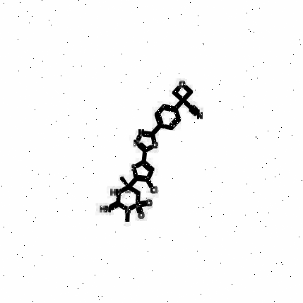 CN1C(=N)N[C@](C)(c2sc(-c3nnc(-c4ccc(C5(C#N)COC5)cc4)o3)cc2Cl)CS1(=O)=O